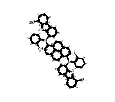 CC1=C(N(c2ccc3ccc4c(N(c5ccccc5C)c5cccc6c5oc5c(C(C)(C)C)cccc56)ccc5ccc2c3c54)c2cccc3c2oc2c(C(C)(C)C)cccc23)C=CCC1